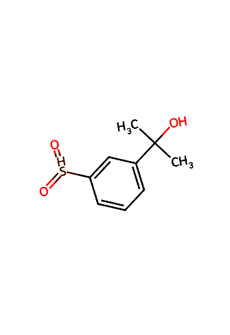 CC(C)(O)c1cccc([SH](=O)=O)c1